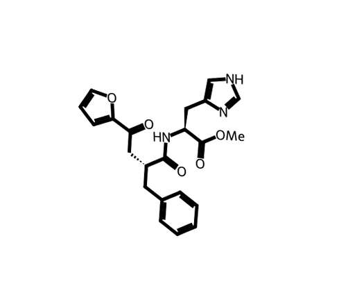 COC(=O)[C@H](Cc1c[nH]cn1)NC(=O)[C@@H](CC(=O)c1ccco1)Cc1ccccc1